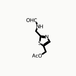 CC(=O)OCc1cnc(CNC=O)s1